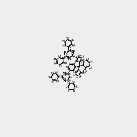 c1ccc(-c2cc(-c3ccc4c(c3)C3(c5ccccc5Oc5ccccc53)c3cccc(-c5nc(-c6ccccc6)nc(-c6ccccc6)n5)c3-4)nc(-c3ccccc3)n2)cc1